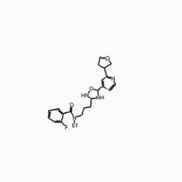 CCN(CCCC1NOC(c2ccnc(C3CCOC3)c2)N1)C(=O)c1ccccc1F